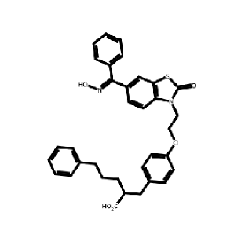 O=C(O)C(CCCc1ccccc1)Cc1ccc(OCCn2c(=O)sc3cc(C(=NO)c4ccccc4)ccc32)cc1